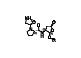 CCO[C@@H]1OC(=O)C[C@@H]1NC(=O)[C@@H]1CCCN1C(=O)CN